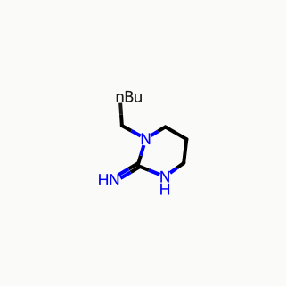 CCCCCN1CCCNC1=N